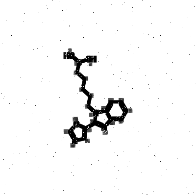 OB(O)CCCCCn1c(-c2cnco2)nc2ccccc21